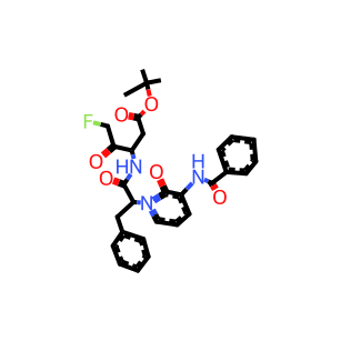 CC(C)(C)OC(=O)CC(NC(=O)C(Cc1ccccc1)n1cccc(NC(=O)c2ccccc2)c1=O)C(=O)CF